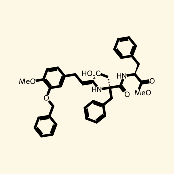 COC(=O)[C@H](Cc1ccccc1)NC(=O)[C@@](CC(=O)O)(Cc1ccccc1)NC=CCc1ccc(OC)c(OCc2ccccc2)c1